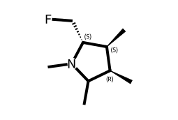 CC1[C@H](C)[C@H](C)[C@@H](CF)N1C